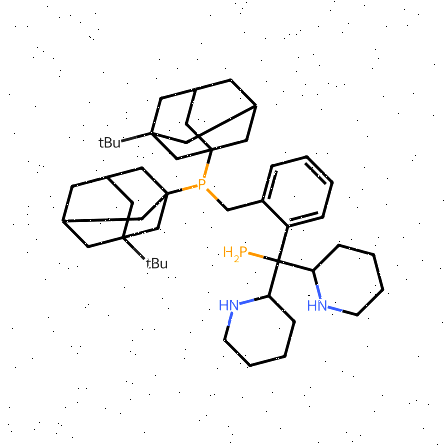 CC(C)(C)C12CC3CC(CC(P(Cc4ccccc4C(P)(C4CCCCN4)C4CCCCN4)C45CC6CC(C4)CC(C(C)(C)C)(C6)C5)(C3)C1)C2